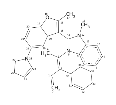 C=C/C(=C(\C)N1c2ccccc2N(C)C1C1=C(C)OC2C=CC(N3C=CCC3)=CC12)C1C=CCCC1